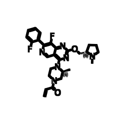 C=CC(=O)N1CCN(c2nc(OC[C@@H]3CCCN3C)nc3c(F)c(-c4ccccc4F)ncc23)[C@@H](C)C1